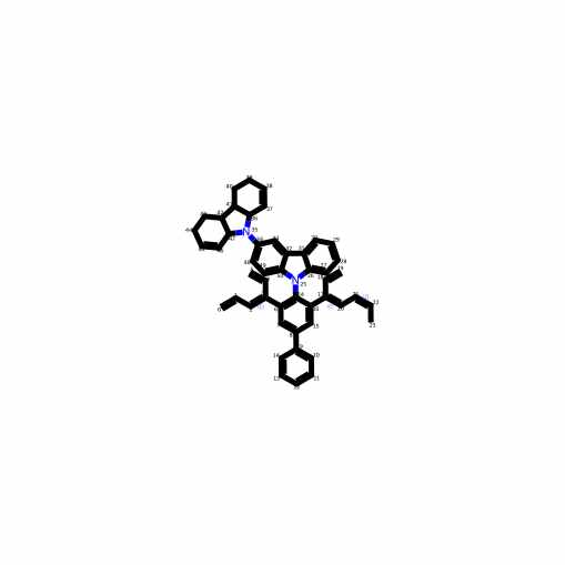 C=C/C=C(\C=C)c1cc(-c2ccccc2)cc(/C(C=C)=C/C=C\C)c1-n1c2ccccc2c2cc(N3C4C=CCCC4C4CCC=CC43)ccc21